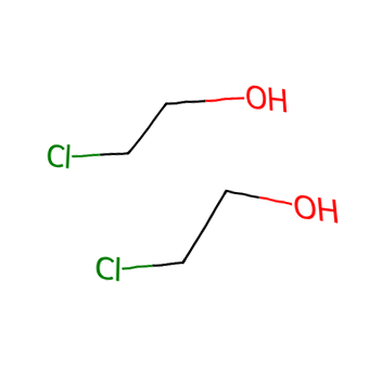 OCCCl.OCCCl